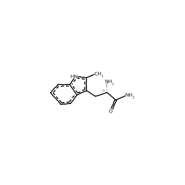 Cc1[nH]c2ccccc2c1C[C@H](N)C(N)=O